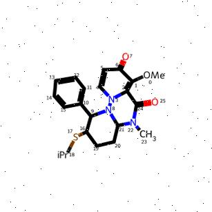 COc1c2n(ccc1=O)N1C(c3ccccc3)C(SC(C)C)CCC1N(C)C2=O